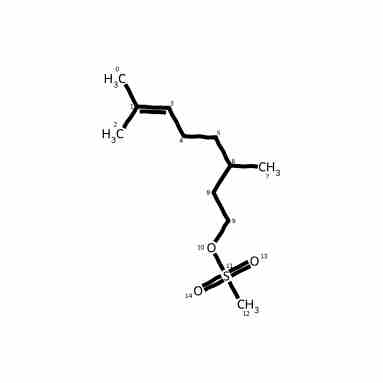 CC(C)=CCCC(C)CCOS(C)(=O)=O